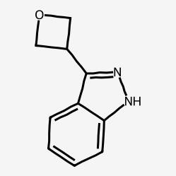 c1ccc2c(C3COC3)n[nH]c2c1